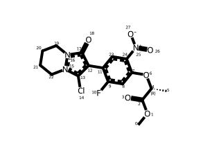 COC(=O)[C@@H](C)Oc1cc(F)c(-c2c(Cl)n3n(c2=O)CCCC3)cc1[N+](=O)[O-]